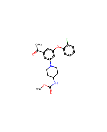 COC(=O)c1cc(Oc2ccccc2Cl)cc(N2CCC(NC(=O)OC(C)(C)C)CC2)c1